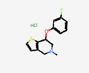 CN1Cc2ccsc2C(Oc2cccc(F)c2)C1.Cl